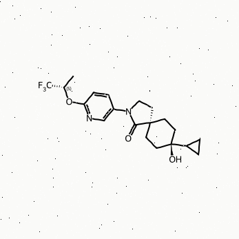 C[C@H](Oc1ccc(N2CC[C@]3(CC[C@@](O)(C4CC4)CC3)C2=O)cn1)C(F)(F)F